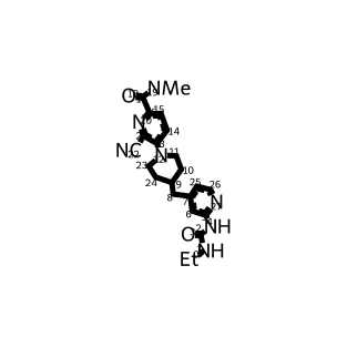 CCNC(=O)Nc1cc(CC2CCN(c3ccc(C(=O)NC)nc3C#N)CC2)ccn1